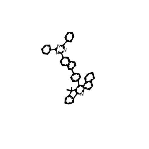 CC1(C)c2ccccc2-c2nc3ccc4ccccc4c3c(-c3ccc(-c4ccc5cc(-c6nc(-c7ccccc7)nc(-c7ccccc7)n6)ccc5c4)cc3)c21